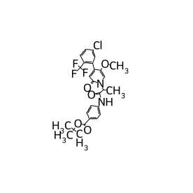 COc1cn(C(C)C(=O)Nc2ccc(C(=O)OC(C)(C)C)cc2)c(=O)cc1-c1cc(Cl)ccc1C(F)(F)F